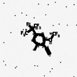 C#Cc1c(C)cc(C(F)(C(F)(F)F)C(F)(F)F)cc1OC(F)(F)F